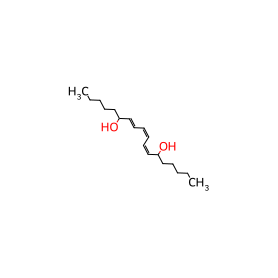 CCCCCC(O)\C=C/C=C\C=C\C(O)CCCCC